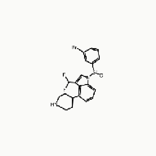 [O-][S+](c1cccc(Br)c1)n1cc(C(F)F)c2c(C3CCNCC3)cccc21